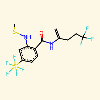 C=C(CCC(F)(F)F)NC(=O)c1ccc(S(F)(F)(F)(F)F)cc1NSC